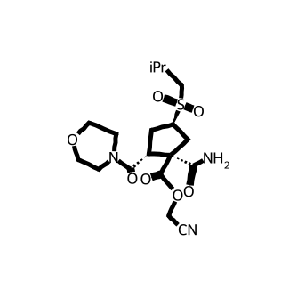 CC(C)CS(=O)(=O)[C@@H]1C[C@@H](C(=O)N2CCOCC2)[C@](C(N)=O)(C(=O)OCC#N)C1